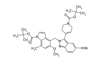 COc1cc(C)c2c(ccn2C(=O)OC(C)(C)C)c1Cn1nc2ccc(C#N)cc2c1C1=CCN(C(=O)OC(C)(C)C)CC1